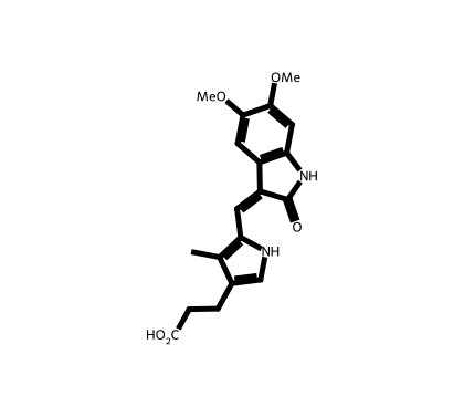 COc1cc2c(cc1OC)/C(=C/c1[nH]cc(CCC(=O)O)c1C)C(=O)N2